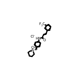 C[N+]1(Cc2ccc(NC(=O)C=Cc3cccc(C(F)(F)F)c3)cc2)CCCCC1.[Cl-]